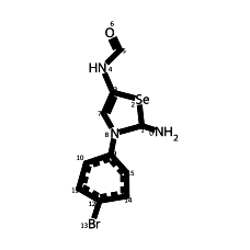 NC1[Se]C(NC=O)=CN1c1ccc(Br)cc1